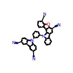 N#Cc1ccc2c(c1)c1cc(C#N)ccc1n2-c1cccc(-n2c3ccccc3c3cc(C#N)c4oc5c(C#N)cccc5c4c32)c1